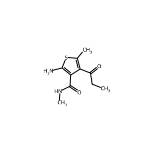 CCC(=O)c1c(C)sc(N)c1C(=O)NC